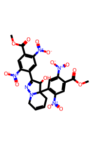 COC(=O)c1cc([N+](=O)[O-])c(C2=NN3CC=CCC3(c3cc([N+](=O)[O-])c(C(=O)OC)cc3[N+](=O)[O-])C2O)cc1[N+](=O)[O-]